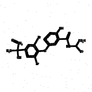 CC(C)C(NC(=O)c1cc(Oc2c(Br)cc(C(C)(O)[PH2]=O)cc2Br)ccc1O)C(=O)O